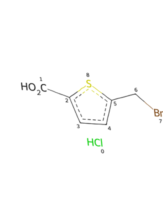 Cl.O=C(O)c1ccc(CBr)s1